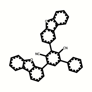 N#Cc1c(-c2ccccc2)cc(-c2cccc3c2oc2ccccc23)c(C#N)c1-c1ccc2oc3ccccc3c2c1